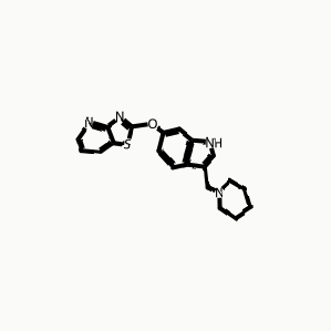 c1cnc2nc(Oc3ccc4c(CN5CCCCC5)c[nH]c4c3)sc2c1